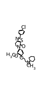 COc1cc(N2CCc3nc(-c4ccc(Cl)cc4)sc3C2=O)ccc1OCCN(C)C1CCCCC1